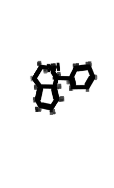 c1ccc([C]2NCCc3ccccc32)cc1